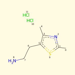 Cc1nc(C)c(CCN)s1.Cl.Cl